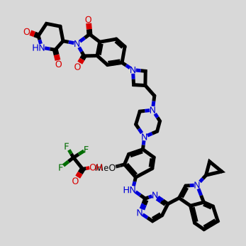 COc1cc(N2CCN(CC3CN(c4ccc5c(c4)C(=O)N(C4CCC(=O)NC4=O)C5=O)C3)CC2)ccc1Nc1nccc(-c2cn(C3CC3)c3ccccc23)n1.O=C(O)C(F)(F)F